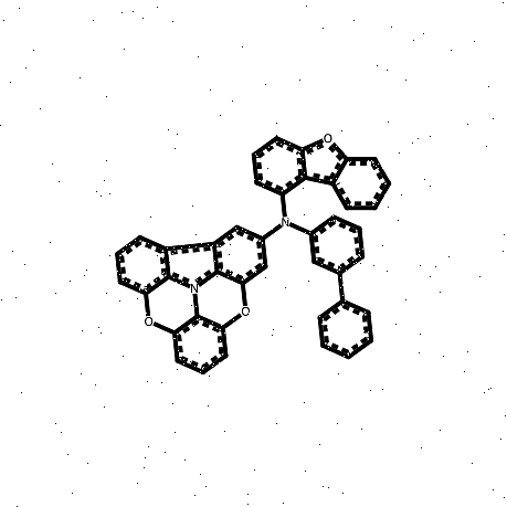 c1ccc(-c2cccc(N(c3cc4c5c(c3)c3cccc6c3n5-c3c(cccc3O4)O6)c3cccc4oc5ccccc5c34)c2)cc1